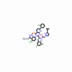 CNc1nn(C)c2c(-n3c([C@H](Cc4cc(F)cc(F)c4)NC(=O)Cn4ccc(C5CC5)n4)nc4nc(-c5ccccc5F)ccc4c3=O)ccc(Cl)c12